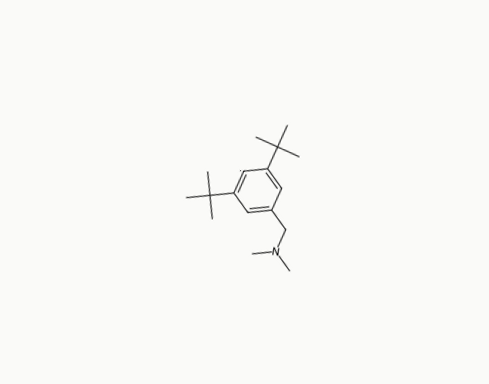 CN(C)Cc1cc(C(C)(C)C)[c]c(C(C)(C)C)c1